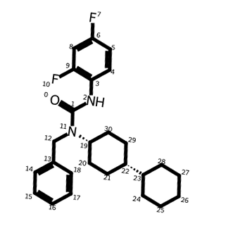 O=C(Nc1ccc(F)cc1F)N(Cc1ccccc1)[C@H]1CC[C@@H](C2CCCCC2)CC1